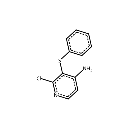 Nc1ccnc(Cl)c1Sc1ccccc1